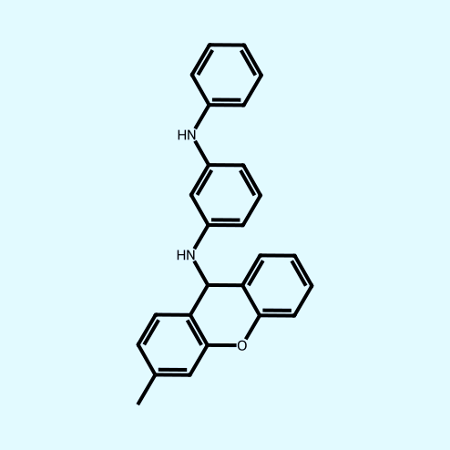 Cc1ccc2c(c1)Oc1ccccc1C2Nc1cccc(Nc2ccccc2)c1